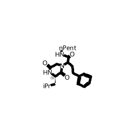 CCCCCNC(=O)C(CCc1ccccc1)N1CC(=O)N[C@@H](CC(C)C)C1=O